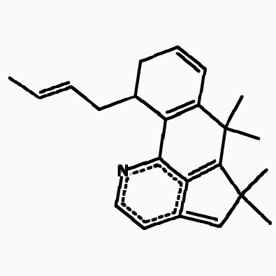 CC=CCC1CC=CC2=C1c1nccc3c1=C(C(C)(C)C=3)C2(C)C